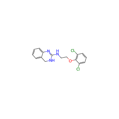 Clc1cccc(Cl)c1OCCNC1=Nc2ccccc2CN1